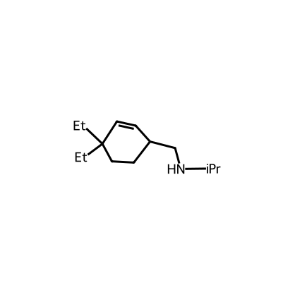 CCC1(CC)C=CC(CNC(C)C)CC1